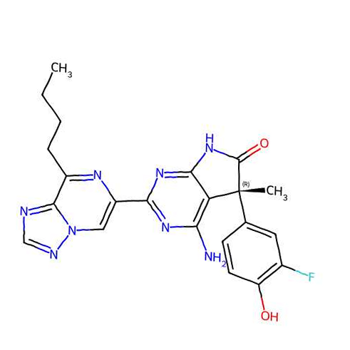 CCCCc1nc(-c2nc(N)c3c(n2)NC(=O)[C@]3(C)c2ccc(O)c(F)c2)cn2ncnc12